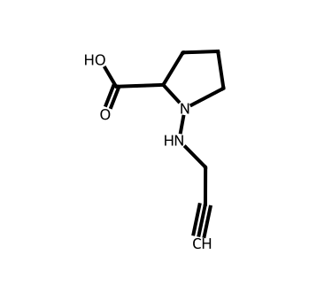 C#CCNN1CCCC1C(=O)O